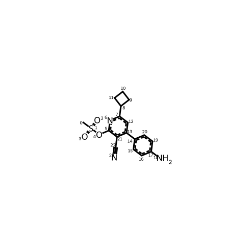 CS(=O)(=O)Oc1nc(C2CCC2)cc(-c2ccc(N)cc2)c1C#N